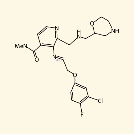 CNC(=O)c1ccnc(CNCC2CNCCO2)c1/N=C/COc1ccc(F)c(Cl)c1